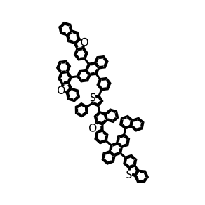 c1ccc(-c2sc(-c3cccc(-c4c5ccccc5c(-c5ccc6c(c5)oc5cc7ccccc7cc56)c5cc(-c6c7ccccc7cc7oc8ccccc8c67)ccc45)c3)cc2-c2cc3oc4ccc(-c5c6ccccc6c(-c6ccc7c(c6)sc6ccccc67)c6ccc(-c7cccc8ccccc78)cc56)cc4c3c3ccccc23)cc1